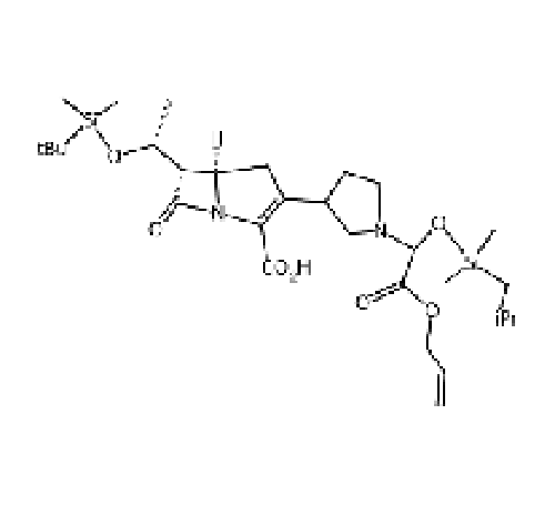 C=CCOC(=O)C(O[Si](C)(C)CC(C)C)N1CCC(C2=C(C(=O)O)N3C(=O)[C@H]([C@@H](C)O[Si](C)(C)C(C)(C)C)[C@H]3C2)C1